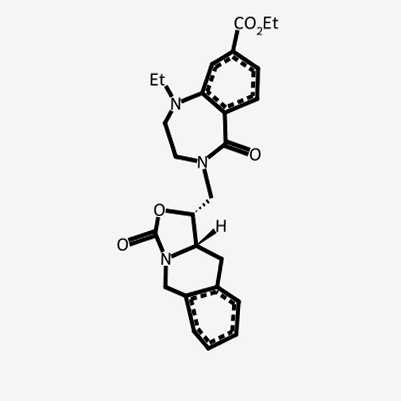 CCOC(=O)c1ccc2c(c1)N(CC)CCN(C[C@H]1OC(=O)N3Cc4ccccc4C[C@@H]13)C2=O